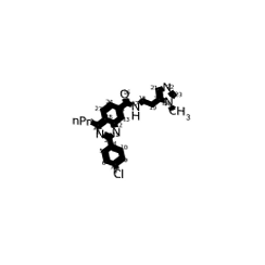 CCCc1nc(-c2ccc(Cl)cc2)nc2cc(C(=O)NCCc3cncn3C)ccc12